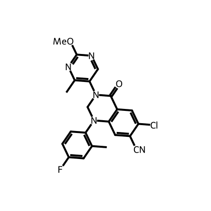 COc1ncc(N2CN(c3ccc(F)cc3C)c3cc(C#N)c(Cl)cc3C2=O)c(C)n1